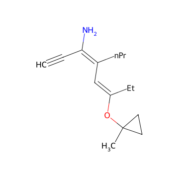 C#C/C(N)=C(\C=C(/CC)OC1(C)CC1)CCC